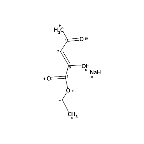 CCOC(=O)C(O)=CC(C)=O.[NaH]